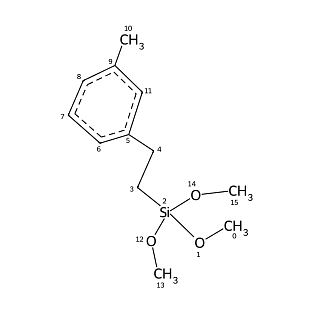 CO[Si](CCc1cccc(C)c1)(OC)OC